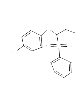 CC(C)(C)c1ccc(SC(CCl)S(=O)(=O)c2ccccc2)cc1